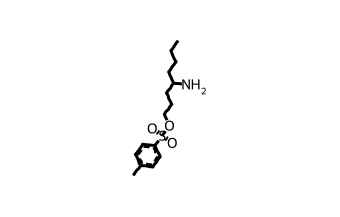 CCCCC(N)CCCOS(=O)(=O)c1ccc(C)cc1